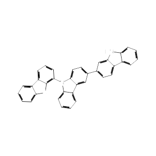 c1ccc2c(c1)[nH]c1cc(-c3ccc4c(c3)c3ccccc3n4-c3cccc4c3sc3ccccc34)ccc12